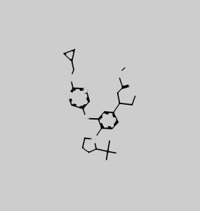 CCC(CC(=O)OC)c1ccc(N2CCCC2C(C)(C)O)c(Nc2cnc(OCC3CC3)nc2)c1